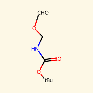 CC(C)(C)OC(=O)NCOC=O